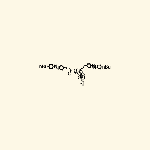 CCCCc1ccc(N=Nc2ccc(CCCC(=O)OC[C@H](COP(=O)([O-])OCC[N+](C)(C)C)OC(=O)CCCc3ccc(N=Nc4ccc(CCCC)cc4)cc3)cc2)cc1